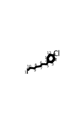 Clc1ccc(CCCCCCI)cc1